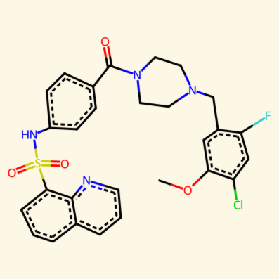 COc1cc(CN2CCN(C(=O)c3ccc(NS(=O)(=O)c4cccc5cccnc45)cc3)CC2)c(F)cc1Cl